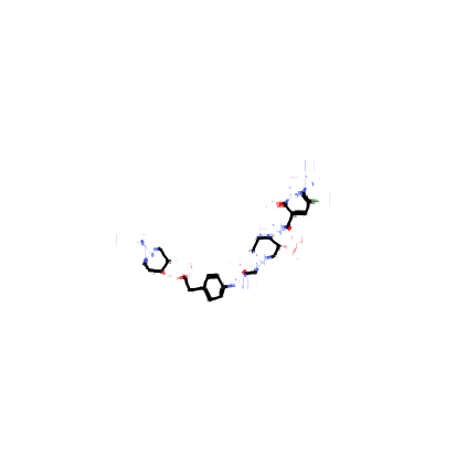 CO[C@H]1CN(CC(=O)Nc2ccc(CC(=O)OC3CCN(C)CC3)cc2)CC[C@H]1NC(=O)c1cc(Cl)c(N)[nH]c1=O